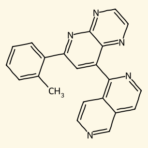 Cc1ccccc1-c1cc(-c2nccc3cnccc23)c2nccnc2n1